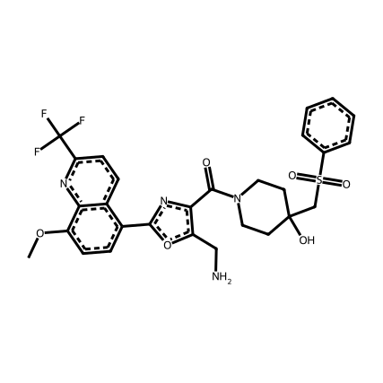 COc1ccc(-c2nc(C(=O)N3CCC(O)(CS(=O)(=O)c4ccccc4)CC3)c(CN)o2)c2ccc(C(F)(F)F)nc12